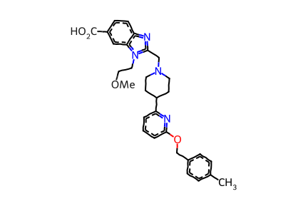 COCCn1c(CN2CCC(c3cccc(OCc4ccc(C)cc4)n3)CC2)nc2ccc(C(=O)O)cc21